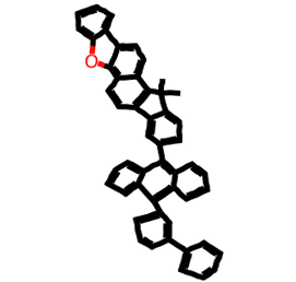 CC1(C)c2ccc(-c3c4ccccc4c(-c4cccc(-c5ccccc5)c4)c4ccccc34)cc2-c2ccc3c(ccc4c5ccccc5oc34)c21